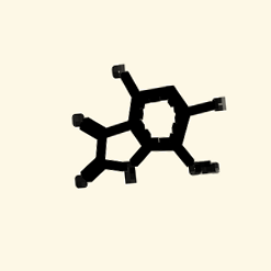 COc1c(Cl)cc(Cl)c2c1NC(=O)C2=O